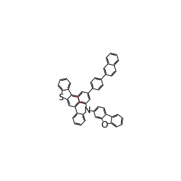 c1cc(-c2ccc(-c3ccc4ccccc4c3)cc2)cc(N(c2ccc3c(c2)oc2ccccc23)c2ccccc2-c2ccc3c(c2)sc2ccccc23)c1